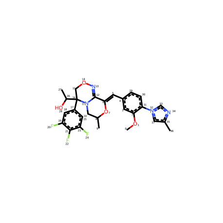 COc1cc(/C=C2\OC(C)CN3C2=NOCC3(c2cc(F)c(F)c(F)c2)C(C)O)ccc1-n1cnc(C)c1